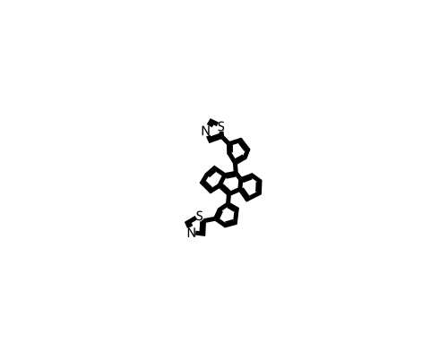 c1cc(-c2cncs2)cc(-c2c3ccccc3c(-c3cccc(-c4cncs4)c3)c3ccccc23)c1